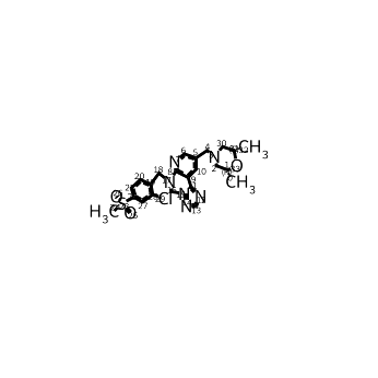 C[C@@H]1CN(Cc2cnc3c(c2)-c2ncnn2CN3Cc2ccc(S(C)(=O)=O)cc2Cl)C[C@H](C)O1